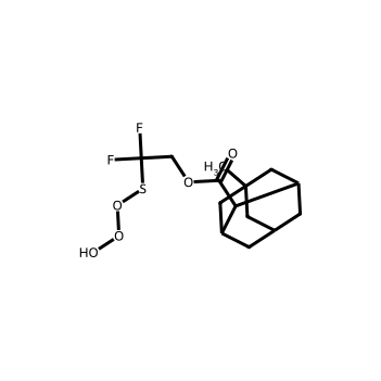 CC12CC3CC(C1)C(C(=O)OCC(F)(F)SOOO)C(C3)C2